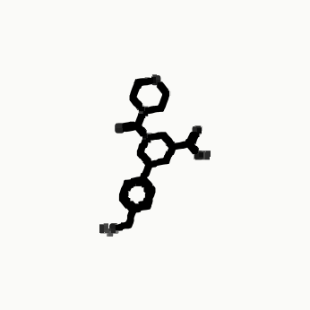 CCc1ccc(C2CC(C(=O)O)CN(C(=O)N3CCOCC3)C2)cc1